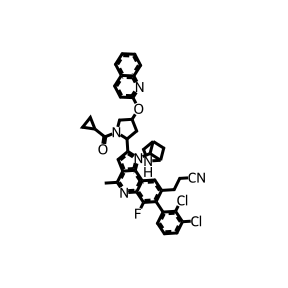 Cc1nc2c(F)c(-c3cccc(Cl)c3Cl)c(CCC#N)cc2c2c1cc(C1CC(Oc3ccc4ccccc4n3)CN1C(=O)C1CC1)n2C1C2CNC1C2